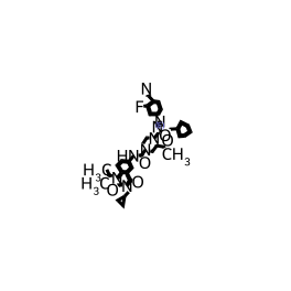 CC(=O)C1CN(C(=O)Nc2ccc3c(c2)c(=O)n(CC2CC2)c(=O)n3C(C)C)CCN1C(/N=N/c1ccc(C#N)c(F)c1)OCc1ccccc1